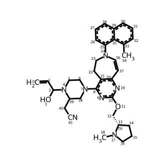 C=CC(O)N1CCN(c2nc(OC[C@@H]3CCCN3C)nc3c2CCN(c2cccc4cccc(C)c24)C=C3)CC1CC#N